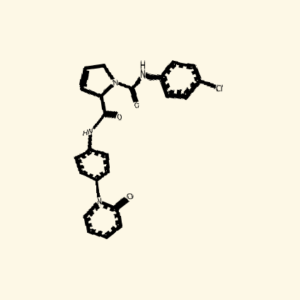 O=C(Nc1ccc(-n2ccccc2=O)cc1)C1C=CCN1C(=O)Nc1ccc(Cl)cc1